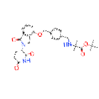 CC(C)(C)OC(=O)C(C)(C)NCc1ccc(COc2cccc3c2CN(C2CCC(=O)NC2=O)C3=O)cc1